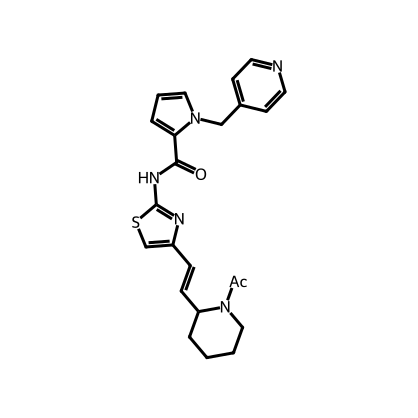 CC(=O)N1CCCCC1C=Cc1csc(NC(=O)c2cccn2Cc2ccncc2)n1